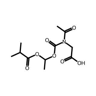 CC(=O)N(CC(=O)O)C(=O)OC(C)OC(=O)C(C)C